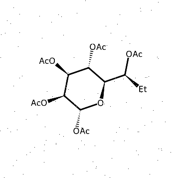 CC[C@H](OC(C)=O)[C@H]1O[C@H](OC(C)=O)[C@@H](OC(C)=O)[C@@H](OC(C)=O)[C@@H]1OC(C)=O